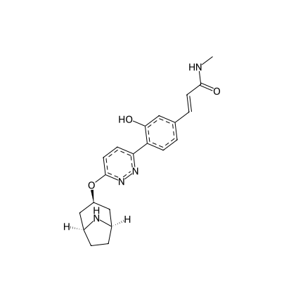 CNC(=O)/C=C/c1ccc(-c2ccc(O[C@H]3C[C@H]4CC[C@@H](C3)N4)nn2)c(O)c1